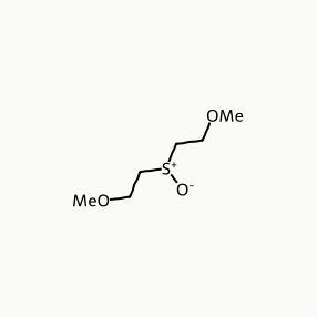 COCC[S+]([O-])CCOC